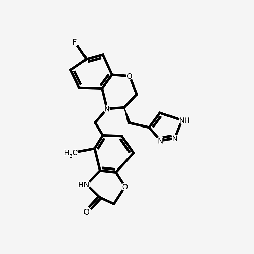 Cc1c(CN2c3ccc(F)cc3OC[C@H]2Cc2c[nH]nn2)ccc2c1NC(=O)CO2